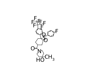 CC1(O)CCN(C(=O)C2CCC(c3ccc(C(F)(C(F)(F)F)C(F)(F)F)cc3)(S(=O)(=O)c3ccc(F)cc3)CC2)CC1